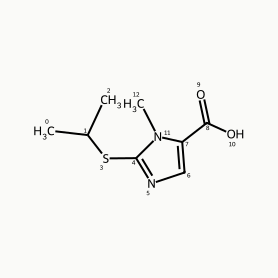 CC(C)Sc1ncc(C(=O)O)n1C